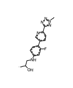 [CH2]C(O)CNc1ccc(-c2ccc(-c3nnn(C)n3)nc2)c(F)c1